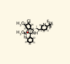 CNC(=O)C(N[C@@H](CCc1ccc(C(F)(F)F)nc1)c1ccc(C)c(Cl)c1)c1ccccc1